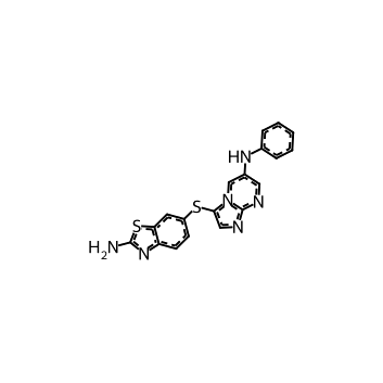 Nc1nc2ccc(Sc3cnc4ncc(Nc5ccccc5)cn34)cc2s1